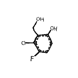 OCc1c(O)ccc(F)c1Cl